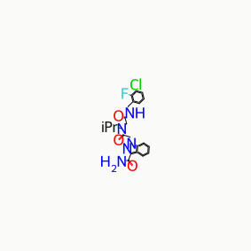 CC(C)N(CC(=O)NCc1cccc(Cl)c1F)C(=O)Cn1nc(C(N)=O)c2ccccc21